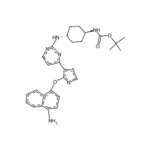 CC(C)(C)OC(=O)N[C@H]1CC[C@H](Nc2nccc(-c3scnc3Oc3ccc(N)c4ccccc34)n2)CC1